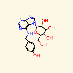 OC[C@H]1O[C@@H](n2cnc3ncnc(NCc4ccc(O)cc4)c32)[C@H](O)[C@@H](O)[C@@H]1O